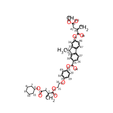 C=C(CC(=O)OC1CCCCC1)C(=O)OCCOc1ccc(OC(=O)c2ccc3c(c2)C(C)c2cc(OC(=O)C(=C)CC(=O)OC)ccc2-3)cc1